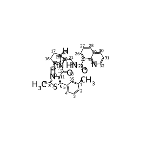 Cc1cccc(-c2sc(C)nc2C(=O)N2[C@@H]3CC[C@@H](C3)[C@H]2CNC(=O)c2cccc3cccnc23)c1